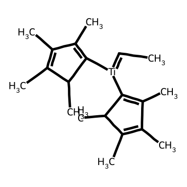 C[CH]=[Ti]([C]1=C(C)C(C)=C(C)C1C)[C]1=C(C)C(C)=C(C)C1C